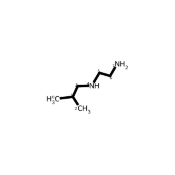 CC(C)[CH]NCCN